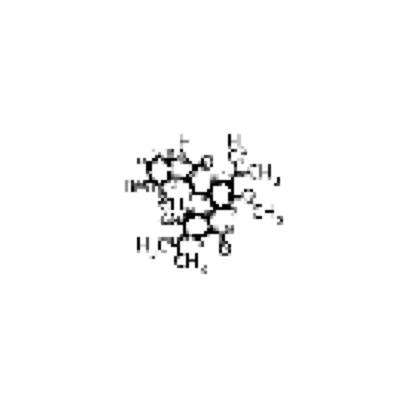 COc1ccc(C=C2C(=O)Nc3ccc(Br)cc32)cc1C(C)C.COc1ccc(C=O)cc1C(C)C